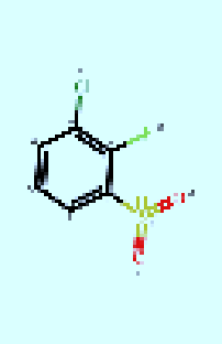 O=[SH](=O)c1cccc(Cl)c1F